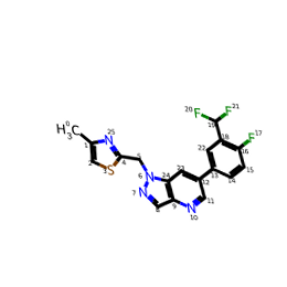 Cc1csc(Cn2ncc3ncc(-c4ccc(F)c(C(F)F)c4)cc32)n1